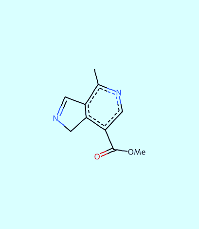 COC(=O)c1cnc(C)c2c1CN=C2